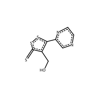 OCc1c(-c2cnccn2)ssc1=S